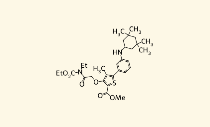 CCOC(=O)N(CC)C(=O)COc1c(C(=O)OC)sc(-c2cccc(NC3CC(C)(C)CC(C)(C)C3)c2)c1C